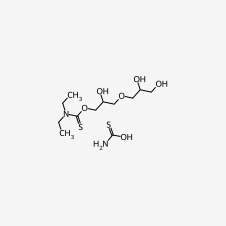 CCN(CC)C(=S)OCC(O)COCC(O)CO.NC(O)=S